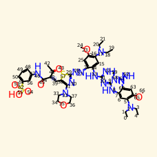 CCN(CC)c1cc(N/C(=N/C(=N)Nc2cc(N(CC)CC)c(OC)cc2/N=N/c2nc(N3CCOCC3)c(/C=C(\C(C)=O)C(=O)Nc3cccc(S(=O)(=O)O)c3)s2)NC)c(N=N)cc1OC